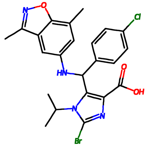 Cc1noc2c(C)cc(NC(c3ccc(Cl)cc3)c3c(C(=O)O)nc(Br)n3C(C)C)cc12